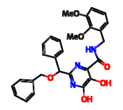 COc1cccc(CNC(=O)c2nc(C(OCc3ccccc3)c3ccccc3)nc(O)c2O)c1OC